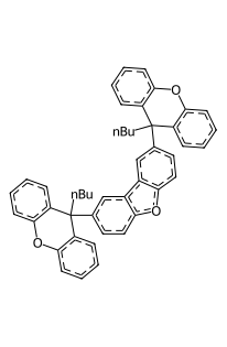 CCCCC1(c2ccc3oc4ccc(C5(CCCC)c6ccccc6Oc6ccccc65)cc4c3c2)c2ccccc2Oc2ccccc21